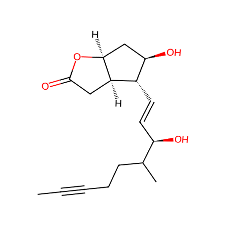 CC#CCCC(C)[C@H](O)C=C[C@@H]1[C@H]2CC(=O)O[C@H]2C[C@H]1O